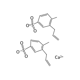 C=CCc1cc(S(=O)(=O)[O-])ccc1C.C=CCc1cc(S(=O)(=O)[O-])ccc1C.[Ca+2]